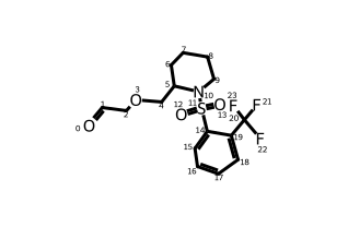 O=CCOCC1CCCCN1S(=O)(=O)c1ccccc1C(F)(F)F